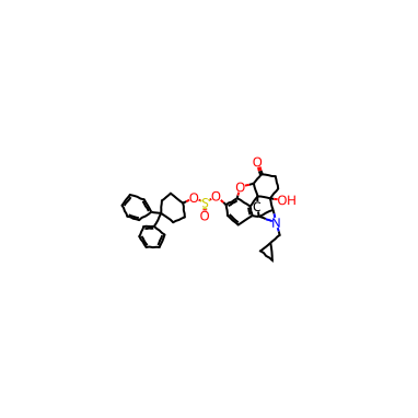 O=C1CCC2(O)C3N(CC4CC4)C34CC23c2c4ccc(OS(=O)OC4CCC(c5ccccc5)(c5ccccc5)CC4)c2OC13